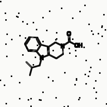 CC(C)Cn1c2c(c3ccccc31)CN(C(=O)O)CC2